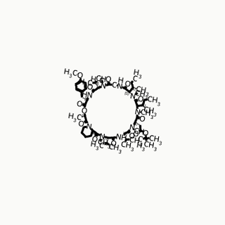 CC[C@H](C)C1C(=O)N(C)[C@@H]([C@@H](C)CC)C(=O)NCC(=O)N(C)[C@@H](C(C)C)C(=O)N[C@@H](Cc2ccc(OC)cc2)C(=O)O[C@@H](C)C(=O)N2CCCC[C@H]2C(=O)N(C)[C@@H](C(C)C)C(=O)N[C@@H](C(C)C)C(=O)N(C)[C@@H](CC(=O)OC(C)(C)C)C(=O)N1C